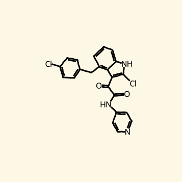 O=C(Nc1ccncc1)C(=O)c1c(Cl)[nH]c2cccc(Cc3ccc(Cl)cc3)c12